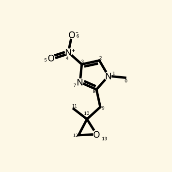 Cn1cc([N+](=O)[O-])nc1CC1(C)CO1